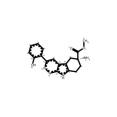 COC(=O)[C@@]1(N)CCc2[nH]c3nnc(-c4ccccc4O)cc3c2C1